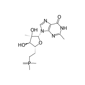 C=P(C)(C)CC[C@H]1O[C@@H](n2cnc3c(=O)[nH]c(C)nc32)[C@](C)(O)[C@@H]1O